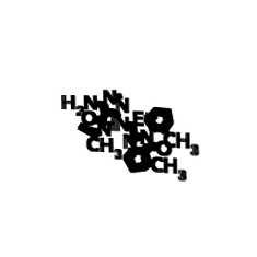 CC[C@H](Nc1ncnc(N)c1-c1nc(C)co1)c1nc2cccc(C)c2c(=O)n1-c1ccccc1C